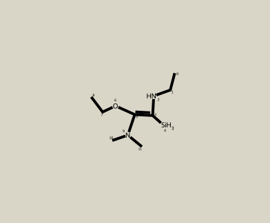 CCNC([SiH3])=C(OCC)N(C)C